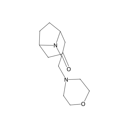 O=C1CC2CCC(C1)N2CCN1CCOCC1